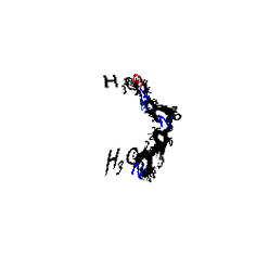 Cc1cc(-c2ccc(CN3C=Cc4cc(N5CCOC(C)C5)ncc4C3)cc2)ccn1